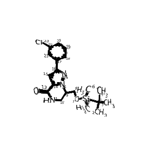 CC(C)(C)[Si](C)(C)OCC1CNC(=O)c2cc(-c3cccc(Cl)c3)nn21